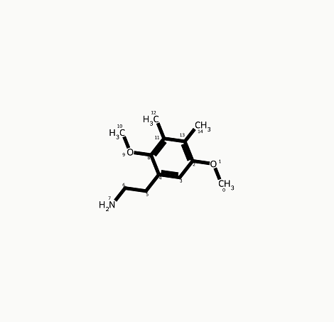 COc1cc(CCN)c(OC)c(C)c1C